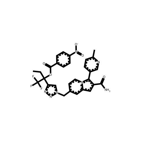 CCC(OC(=O)c1ccc([N+](=O)[O-])cc1)(c1cn(Cc2ccn3c(-c4ccc(C)nc4)c(C(N)=O)cc3c2)nn1)C(F)(F)F